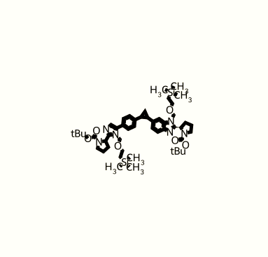 CC(C)(C)OC(=O)N1CCCC1c1ncc(-c2ccc(C3CC3c3ccc4nc([C@@H]5CCCN5C(=O)OC(C)(C)C)n(COCC[Si](C)(C)C)c4c3)cc2)n1COCC[Si](C)(C)C